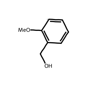 COc1[c]cccc1CO